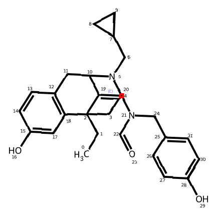 CCC12CCN(CC3CC3)C(Cc3ccc(O)cc31)/C2=C/N(C=O)Cc1ccc(O)cc1